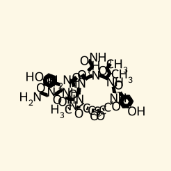 CC[C@H](C)[C@@H]1NC(=O)[C@H](Cc2ccc(O)cc2)NC(=O)CCS(=O)(=O)CC[C@@H](C(=O)N(C)CC(=O)N[C@@H](Cc2ccc(O)cc2)C(=O)NCC(N)=O)NC(=O)[C@H](CC(N)=O)NC(=O)[C@H](CCC(N)=O)NC1=O